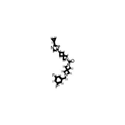 O=C(N1CC2(CC(n3cnc(C4CC4)n3)C2)C1)N1CC2(CN(Cc3cc(F)cc(F)c3)C2)C1